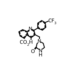 O=C1CN(Cc2c(-c3ccc(C(F)(F)F)cc3)nc3ccccc3c2C(=O)O)CCN1